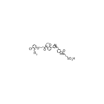 Cc1c(Cl)cccc1OCCCC(=O)N1CCCOc2c(-c3cnn(Cc4cccc(C(=O)NCCCS(=O)(=O)O)c4)c3)cccc21